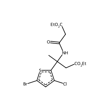 CCOC(=O)CC(=O)NC(C)(CC(=O)OCC)c1sc(Br)cc1Cl